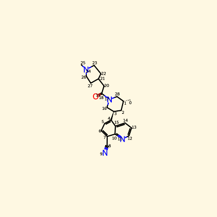 C[C@@H]1C[C@@H](c2ccc(C#N)c3ncccc23)CN(C(=O)CC2CCN(C)CC2)C1